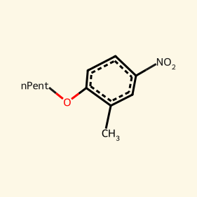 CCCCCOc1ccc([N+](=O)[O-])cc1C